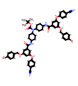 CC(C)(C)OC(=O)N(C1CCC(NC(=O)c2cc(OCc3ccc(Br)cc3)cc(Oc3ccc(C#N)cc3)c2)CC1)C1CCC(NC(=O)c2cc(OCc3ccc(Br)cc3)cc(Oc3ccc(C#N)cc3)c2)CC1